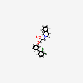 OC(COc1cccc(-c2cccc(F)c2F)c1)CN1CCc2ccccc2C1